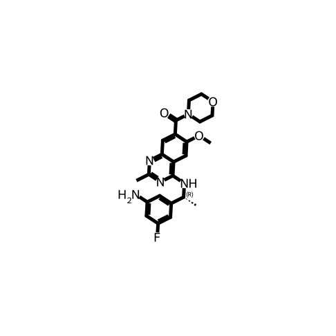 COc1cc2c(N[C@H](C)c3cc(N)cc(F)c3)nc(C)nc2cc1C(=O)N1CCOCC1